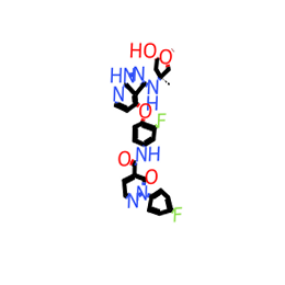 COC[C@](C)(CCO)Nc1n[nH]c2nccc(Oc3ccc(NC(=O)c4ccnn(-c5ccc(F)cc5)c4=O)cc3F)c12